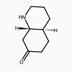 O=C1CC[C@@H]2CCCN[C@H]2C1